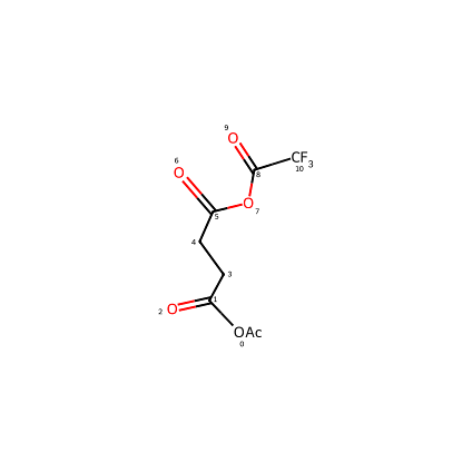 CC(=O)OC(=O)CCC(=O)OC(=O)C(F)(F)F